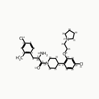 Cc1cc(Cl)ccc1C[C@@H](N)C(=O)N1CCC(c2ccc(Cl)cc2OCCN2CCCC2)CC1